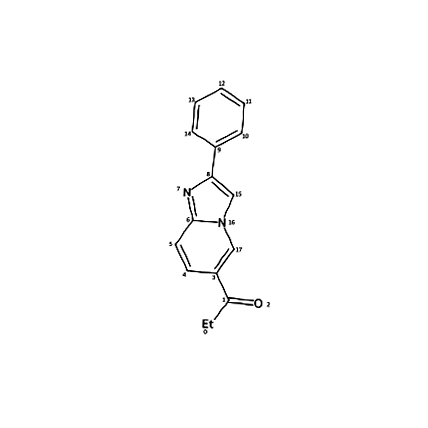 CCC(=O)c1ccc2nc(-c3ccccc3)cn2c1